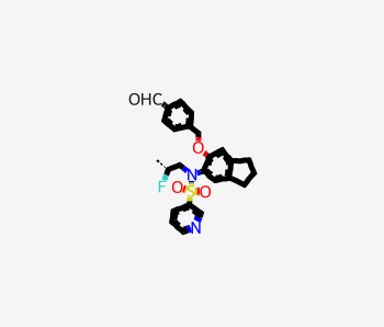 C[C@@H](F)CN(c1cc2c(cc1OCc1ccc(C=O)cc1)CCC2)S(=O)(=O)c1cccnc1